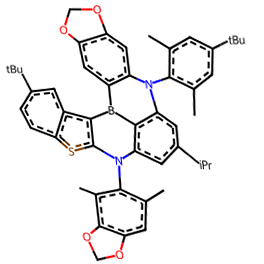 Cc1cc(C(C)(C)C)cc(C)c1N1c2cc3c(cc2B2c4c1cc(C(C)C)cc4N(c1c(C)cc4c(c1C)OCO4)c1sc4ccc(C(C)(C)C)cc4c12)OCO3